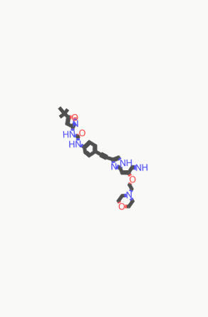 CC(C)(C)c1cc(NC(=O)Nc2ccc(C#Cc3c[nH]c(/C=C(\C=N)OCCN4CCOCC4)n3)cc2)no1